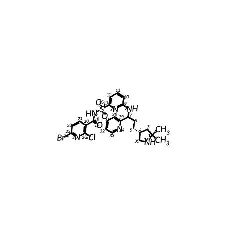 CC1(C)C[C@@H](CCC(Nc2cccc(S(=O)(=O)NC(=O)c3ccc(Br)nc3Cl)n2)c2ccccn2)CN1